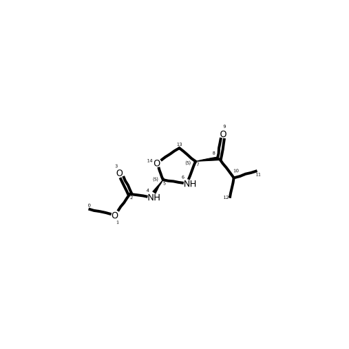 COC(=O)N[C@@H]1N[C@H](C(=O)C(C)C)CO1